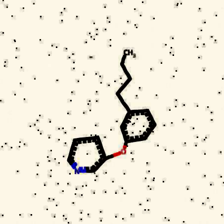 CCCCc1cc[c]c(Oc2cccnc2)c1